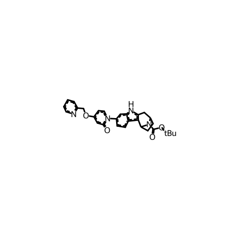 CC(C)(C)OC(=O)N1C2CCC1c1c([nH]c3cc(-n4ccc(OCc5ccccn5)cc4=O)ccc13)C2